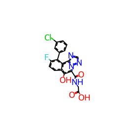 O=C(O)CNC(=O)c1c(O)c2ccc(F)c(-c3cccc(Cl)c3)c2c2ncnn12